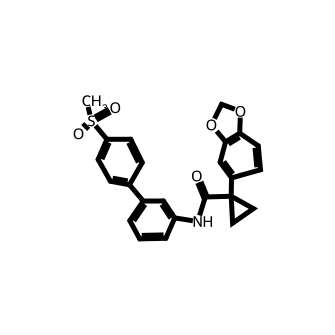 CS(=O)(=O)c1ccc(-c2cccc(NC(=O)C3(c4ccc5c(c4)OCO5)CC3)c2)cc1